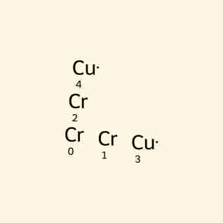 [Cr].[Cr].[Cr].[Cu].[Cu]